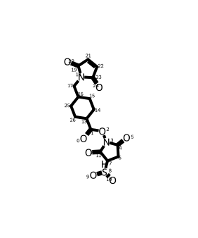 O=C(ON1C(=O)CC([SH](=O)=O)C1=O)C1CCC(CN2C(=O)C=CC2=O)CC1